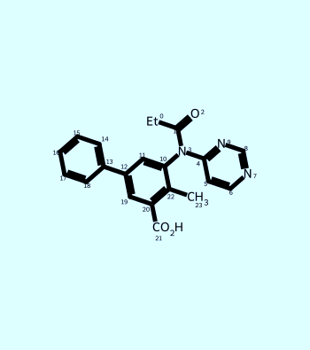 CCC(=O)N(c1ccncn1)c1cc(-c2ccccc2)cc(C(=O)O)c1C